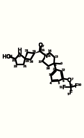 CC1(c2cccc(OC(F)(F)F)c2)CCN(C(=O)[C@H]2C[C@]3(CCC(O)N3)C2)CC1